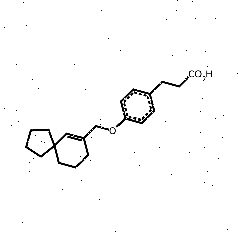 O=C(O)CCc1ccc(OCC2=CC3(CCCC3)CCC2)cc1